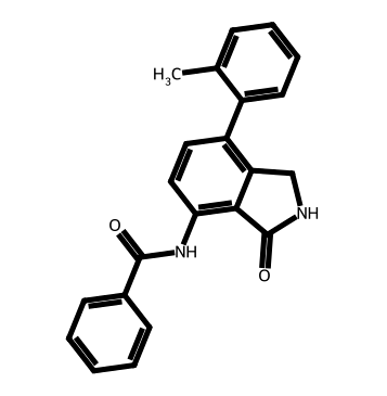 Cc1ccccc1-c1ccc(NC(=O)c2ccccc2)c2c1CNC2=O